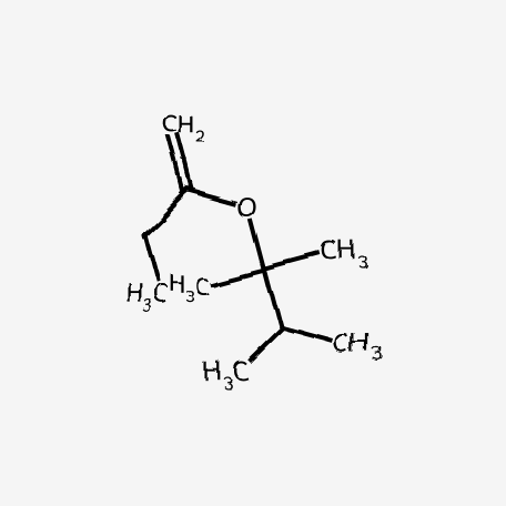 C=C(CC)OC(C)(C)C(C)C